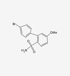 COc1ccc(S(N)(=O)=O)c(-c2ccc(Br)cc2)c1